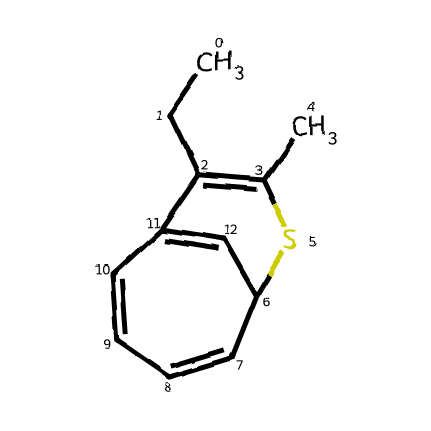 CCC1=C(C)SC2C=CC=CC1=C2